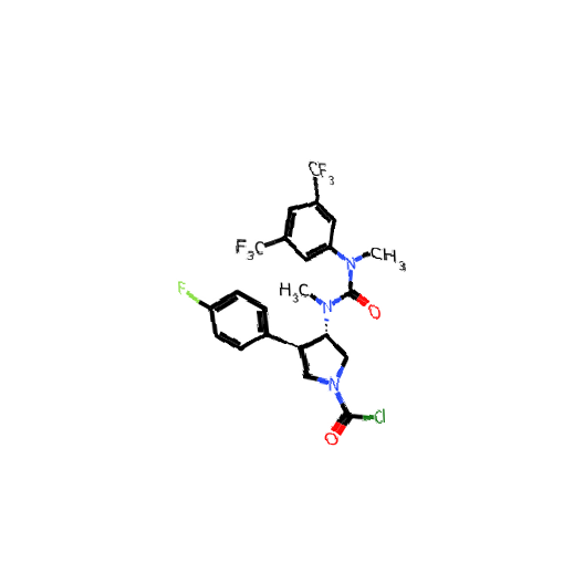 CN(C(=O)N(C)[C@@H]1CN(C(=O)Cl)C[C@H]1c1ccc(F)cc1)c1cc(C(F)(F)F)cc(C(F)(F)F)c1